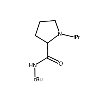 CC(C)N1CCCC1C(=O)NC(C)(C)C